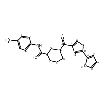 Cc1ccc(NC(=O)C2CCCN(C(=O)c3csc(-c4ccco4)n3)C2)cc1